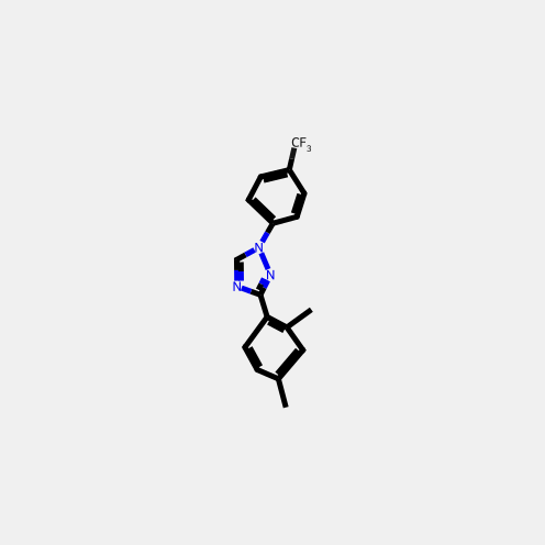 Cc1ccc(-c2ncn(-c3ccc(C(F)(F)F)cc3)n2)c(C)c1